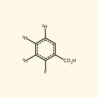 [2H]c1cc(C(=O)O)c(F)c([2H])c1[2H]